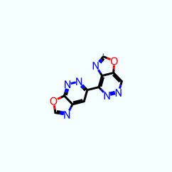 [c]1nc2c(-c3cc4ncoc4nn3)nncc2o1